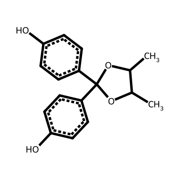 CC1OC(c2ccc(O)cc2)(c2ccc(O)cc2)OC1C